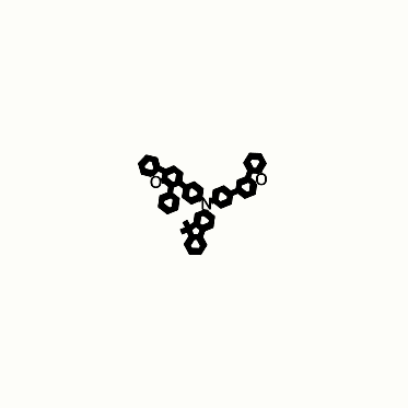 CC1(C)c2ccccc2-c2ccc(N(c3ccc(-c4ccc5oc6ccccc6c5c4)cc3)c3ccc(-c4ccc5c(oc6ccccc65)c4-c4ccccc4)cc3)cc21